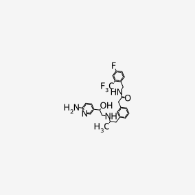 CC(Cc1cccc(CC(=O)NCc2ccc(F)cc2C(F)(F)F)c1)NCC(O)c1ccc(N)nc1